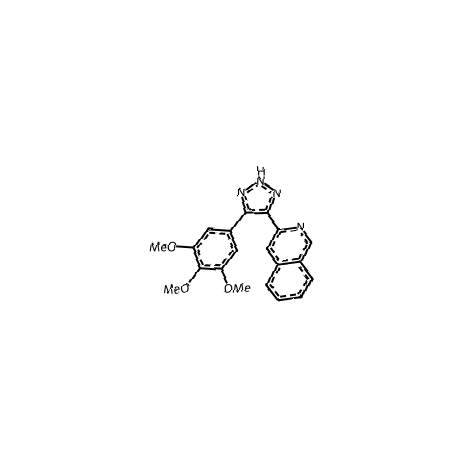 COc1cc(-c2n[nH]nc2-c2cc3ccccc3cn2)cc(OC)c1OC